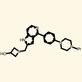 CC(C)N1CCN(c2ccc(-c3nccc4[nH]c(CN5CC(O)C5)cc34)cc2)CC1